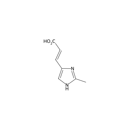 Cc1nc(C=CC(=O)O)c[nH]1